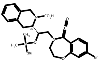 CC(C)(C)[Si](C)(C)OC(CN1CCOc2cc(Br)ccc2C1=C=O)[C@@H]1Cc2ccccc2CN1C(=O)O